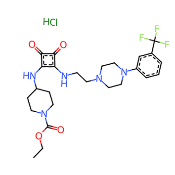 CCOC(=O)N1CCC(Nc2c(NCCN3CCN(c4cccc(C(F)(F)F)c4)CC3)c(=O)c2=O)CC1.Cl